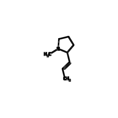 CC=CC1CCCN1C